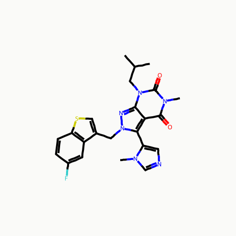 CC(C)Cn1c(=O)n(C)c(=O)c2c(-c3cncn3C)n(Cc3csc4ccc(F)cc34)nc21